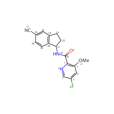 COc1cc(F)cnc1C(=O)NC1CCc2cc(C#N)ccc21